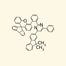 CC1(C)c2ccccc2-c2ccc(-c3cc(-c4ccccc4)nc(-c4ccccc4-c4cccc5c4Oc4ccccc4C54c5ccccc5C5C=CC=CC54)n3)cc21